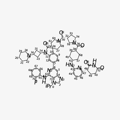 CC(C)n1cnc2cc(-c3ccc4c(c3)N(C3CC(N5CCCCC5)C3)C(=O)C43CCN(C(=O)[C@@H]4CCN(C(=O)C5CCC(Nc6cccc([C@H]7CCC(=O)NC7=O)n6)CC5)C4)CC3)nc(Nc3ccccc3F)c21